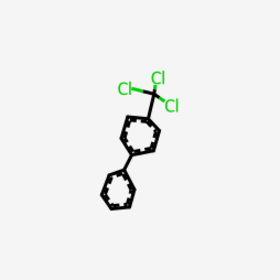 ClC(Cl)(Cl)c1ccc(-c2ccccc2)cc1